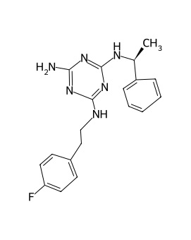 C[C@H](Nc1nc(N)nc(NCCc2ccc(F)cc2)n1)c1ccccc1